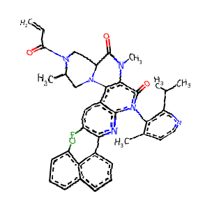 C=CC(=O)N1CC2C(=O)N(C)c3c(c4cc(F)c(-c5cccc6cccc(Cl)c56)nc4n(-c4c(C)ccnc4C(C)C)c3=O)N2CC1C